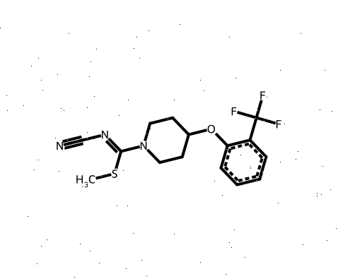 CSC(=NC#N)N1CCC(Oc2ccccc2C(F)(F)F)CC1